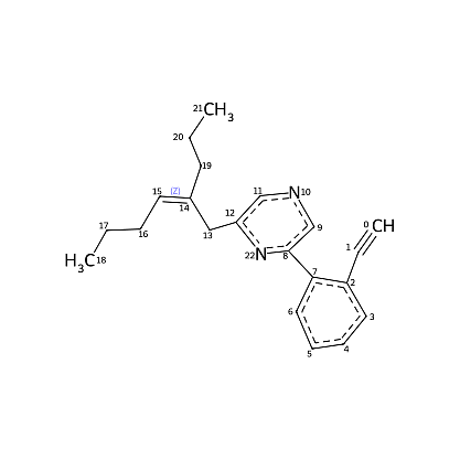 C#Cc1ccccc1-c1cncc(C/C(=C\CCC)CCC)n1